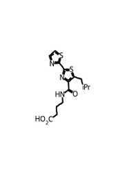 CC(C)Cc1sc(-c2nccs2)nc1C(=O)NCCCC(=O)O